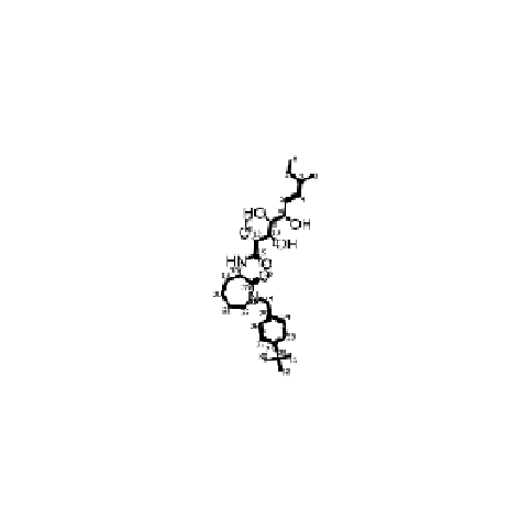 CCC(C)/C=C/[C@@H](O)[C@H](O)[C@@H](O)[C@@H](OC)C(=O)N[C@H]1CCCCN(Cc2ccc(C(C)(C)C)cc2)C1=O